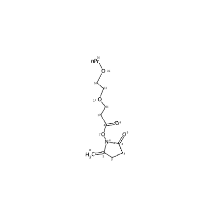 C=C1CCC(=O)N1OC(=O)CCOCCOCCC